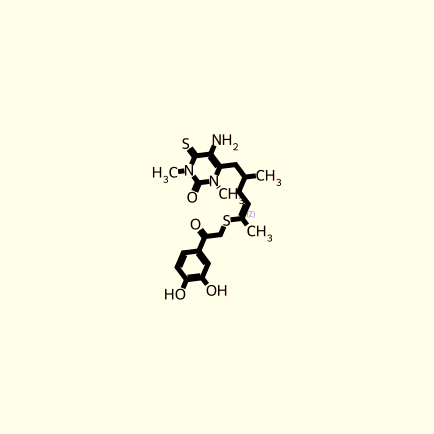 C/C(=C/CC(C)Cc1c(N)c(=S)n(C)c(=O)n1C)SCC(=O)c1ccc(O)c(O)c1